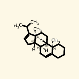 CC(C)C1=CC[C@H]2[C@@H]3CC=C4CCCC[C@]4(C)[C@H]3CC[C@]12C